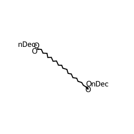 CCCCCCCCCCOC(=O)CCCCCCCCCCCCCCCCCCC(=O)OCCCCCCCCCC